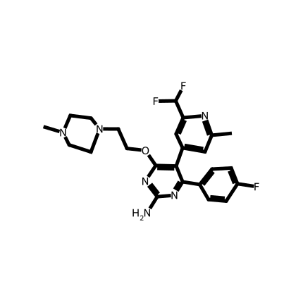 Cc1cc(-c2c(OCCN3CCN(C)CC3)nc(N)nc2-c2ccc(F)cc2)cc(C(F)F)n1